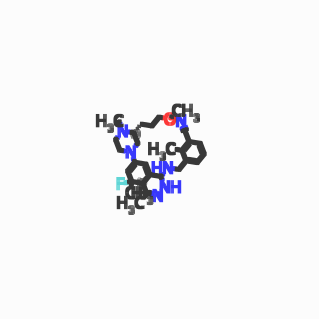 COCCC[C@@H]1CN(C2=CC(C)(F)[C@H]3C(=C2)C(NCc2cccc(C#N)c2C)NN=C3C)CCN1C